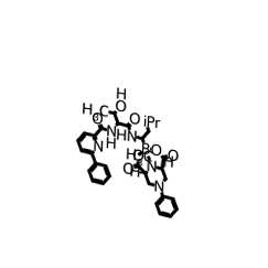 CC(C)CC(NC(=O)C(NC(=O)c1cccc(-c2ccccc2)n1)C(C)O)B1OC(=O)[C@H]2CN(c3ccccc3)C[C@H](C(=O)O1)N2C